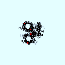 C[C@@H]1C[C@@H]([C@H](O)CC2CC(=O)NC(=O)C2)C(=O)[C@@H](C)C1.Cc1c2oc3c(C)ccc(C(=O)N[C@@H]4C(=O)N[C@H](C(C)C)C(=O)N5CCC[C@H]5C(=O)N(C)CC(=O)N(C)[C@@H](C(C)C)C(=O)O[C@@H]4C)c3nc-2c(C(=O)N[C@@H]2C(=O)N[C@H](C(C)C)C(=O)N3CCC[C@H]3C(=O)N(C)CC(=O)N(C)[C@@H](C(C)C)C(=O)O[C@@H]2C)c(N)c1=O.Nc1nc[nH]n1